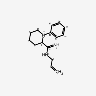 C=CCNC(=N)C1CCCCN1c1ccccc1